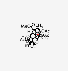 COC(=O)CC1C2(C)CC34OC5(C)OC67C(C(C(=O)C(C)C)C(=O)OC6C3(OC(C)=O)C2OC(C)=O)C(C)(C(OC(C)=O)c2ccoc2)CCC7(O5)C14C